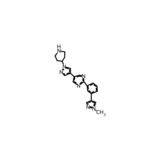 Cn1cc(-c2cccc(-c3ncc(-c4cnn(C5CCNCC5)c4)cn3)c2)cn1